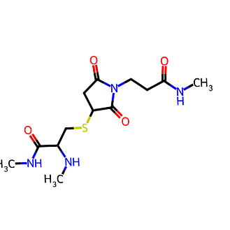 CNC(=O)CCN1C(=O)CC(SCC(NC)C(=O)NC)C1=O